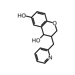 Oc1ccc2c(c1)C(O)C(Cc1ccccn1)CO2